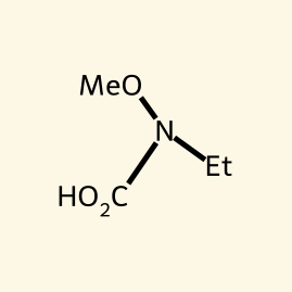 CCN(OC)C(=O)O